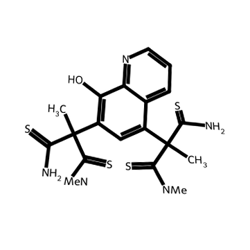 CNC(=S)C(C)(C(N)=S)c1cc(C(C)(C(N)=S)C(=S)NC)c2cccnc2c1O